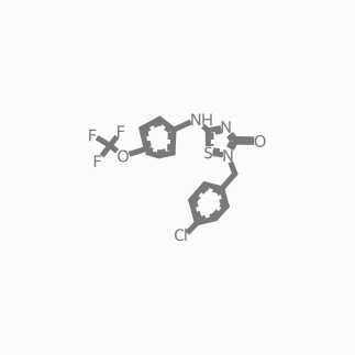 O=c1nc(Nc2ccc(OC(F)(F)F)cc2)sn1Cc1ccc(Cl)cc1